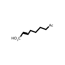 CC(=O)CCCC/C=C/C(=O)O